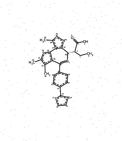 CCC(C(=O)O)[C@@H]1N=C(c2ccc(-c3nccs3)cc2)c2c(sc(C)c2C)-n2c(C)nnc21